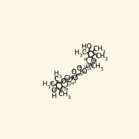 Cc1c(C)c2c(c(C)c1O)CCC(C)(CCOC(=O)CC(=O)OCCC1(C)CCc3c(C)c(O)c(C)c(C)c3O1)O2